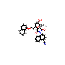 CC12OC(CCOc3cccc4c3CCCC4)(CC1O)C1C(=O)N(c3ccc(C#N)c4ccccc34)C(=O)C12